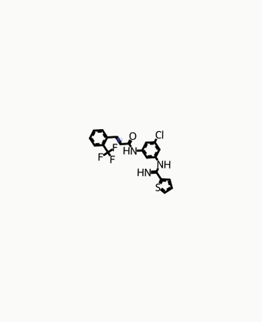 N=C(Nc1cc(Cl)cc(NC(=O)/C=C/c2ccccc2C(F)(F)F)c1)c1cccs1